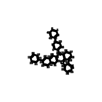 c1ccc(-c2ccc(N(c3ccc4ccc(-c5ccccc5)cc4c3)c3cccc4c3oc3cccnc34)cc2)cc1